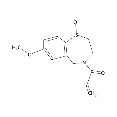 C=CC(=O)N1CC[S+]([O-])c2ccc(OC)cc2C1